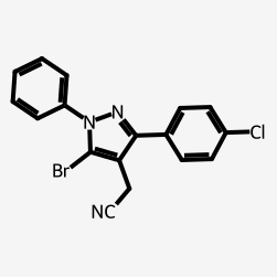 N#CCc1c(-c2ccc(Cl)cc2)nn(-c2ccccc2)c1Br